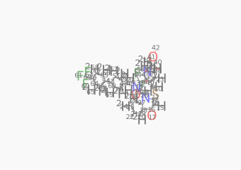 [2H]c1c([2H])c(F)c(F)c(C([2H])([2H])Sc2c([2H])c(=O)c3c([2H])c(C)c([2H])c([2H])c3n2CC(=O)N(C2CCN(C([2H])([2H])COC)CC2)C([2H])([2H])c2c([2H])c([2H])c(-c3c([2H])c([2H])c(C(F)(F)F)c([2H])c3[2H])c([2H])c2[2H])c1[2H]